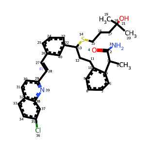 CC(C(N)=O)c1ccccc1CCC(SCCCC(C)(C)O)c1cccc(/C=C/c2ccc3ccc(Cl)cc3n2)c1